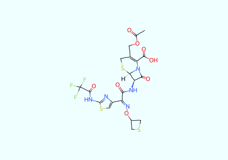 CC(=O)OCC1=C(C(=O)O)N2C(=O)[C@@H](NC(=O)C(=NOC3CSC3)c3csc(NC(=O)C(F)(F)F)n3)[C@H]2SC1